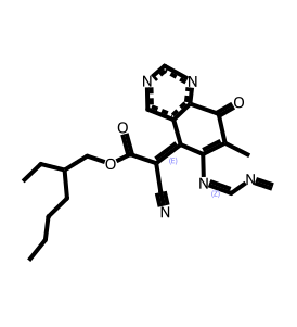 C=N/C=N\C1=C(C)C(=O)c2ncncc2/C1=C(/C#N)C(=O)OCC(CC)CCCC